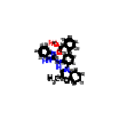 CC(C)CN(c1ccc(-c2ccccc2C(=O)O)cc1Nc1nc2ccccc2[nH]1)C1CCCCC1